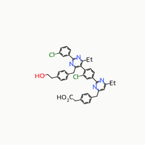 CCc1cc(Cc2ccc(CC(=O)O)cc2)nc(-c2ccc(-c3c(CC)nc(-c4cccc(Cl)c4)nc3Cc3ccc(CCO)cc3)c(Cl)c2)n1